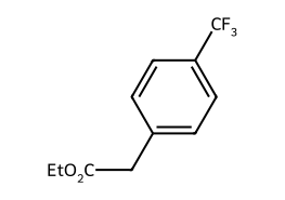 CCOC(=O)Cc1ccc(C(F)(F)F)cc1